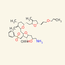 C=CCOC/C=C/[C@H]1CC(=C)C(CC[C@H]2C[C@@H](C)C(=C)C(CC3OC(C[C@H](O)CN)[C@H](OC)[C@H]3CS(=O)(=O)c3ccccc3)O2)O1